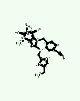 CCc1coc(CSc2nc3c(c(=O)n(C)c(=O)n3C)n2Cc2ccc(C#N)cc2)n1